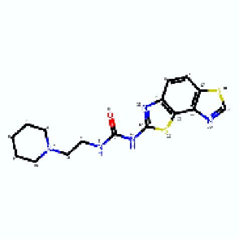 O=C(NCCN1CCCCC1)Nc1nc2ccc3scnc3c2s1